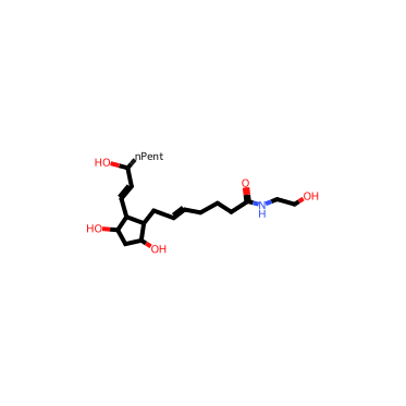 CCCCCC(O)C=CC1C(O)CC(O)C1CC=CCCCC(=O)NCCO